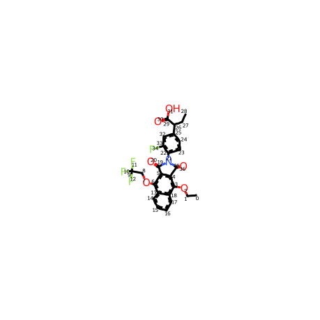 CCOc1c2c(c(OCC(F)(F)F)c3ccccc13)C(=O)N(c1ccc(C(CC)C(=O)O)cc1F)C2=O